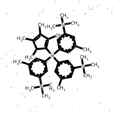 CC1=C(C)C(C)C([Si](c2cc(C)cc([Si](C)(C)C)c2)(c2cc(C)cc([Si](C)(C)C)c2)c2cc(C)cc([Si](C)(C)C)c2)=C1C